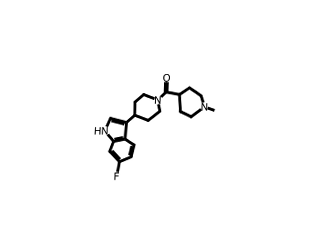 CN1CCC(C(=O)N2CCC(c3c[nH]c4cc(F)ccc34)CC2)CC1